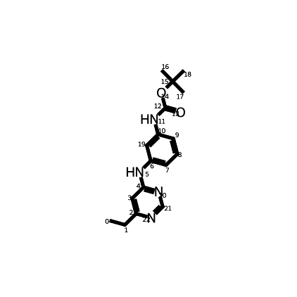 CCc1cc(Nc2cccc(NC(=O)OC(C)(C)C)c2)ncn1